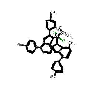 CC1=Cc2c(-c3ccc(C(C)(C)C)cc3)ccc(C)c2[CH]1[Zr]([Cl])([Cl])([CH]1C(c2ccc(C)cc2)=Cc2c(-c3ccc(C(C)(C)C)cc3)cccc21)[SiH](C)C